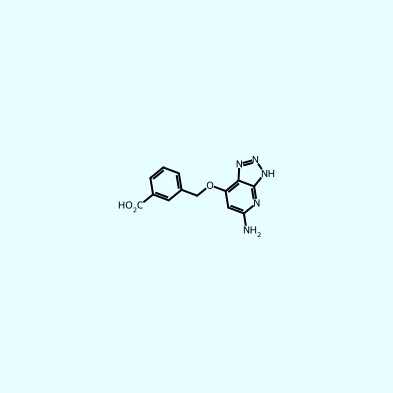 Nc1cc(OCc2cccc(C(=O)O)c2)c2nn[nH]c2n1